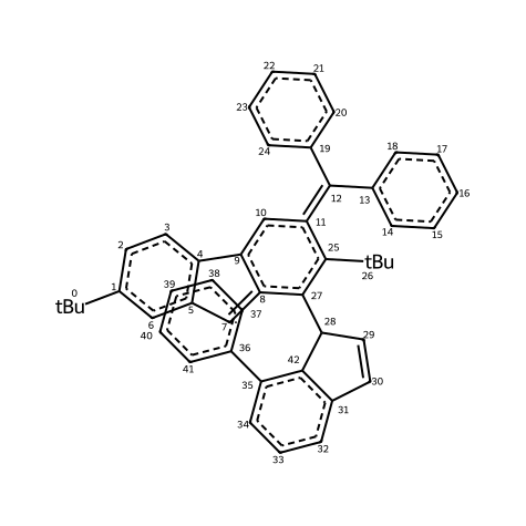 CC(C)(C)c1ccc2c(c1)[C]=c1c-2cc(=C(c2ccccc2)c2ccccc2)c(C(C)(C)C)c1C1C=Cc2cccc(-c3ccccc3)c21